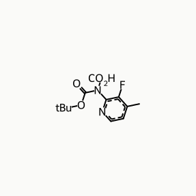 Cc1ccnc(N(C(=O)O)C(=O)OC(C)(C)C)c1F